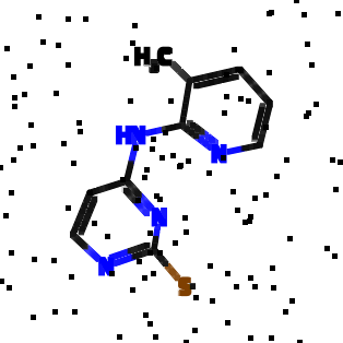 Cc1cccnc1Nc1ccnc([S])n1